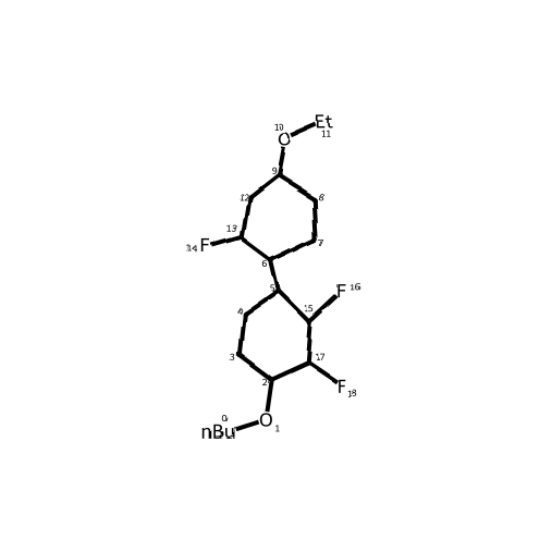 CCCCOC1CCC(C2CCC(OCC)CC2F)C(F)C1F